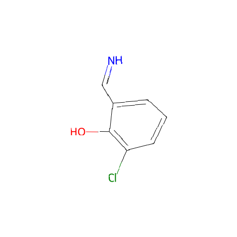 N=Cc1cccc(Cl)c1O